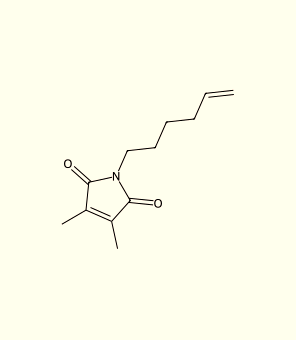 C=CCCCCN1C(=O)C(C)=C(C)C1=O